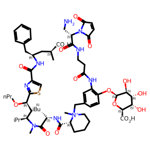 CCCO[C@H](C[C@H](C(C)C)N(C)C(=O)[C@@H](NC(=O)[C@H]1CCCC[N+]1(C)Cc1ccc(O[C@@H]2O[C@H](C(=O)O)[C@@H](O)[C@@H](O)[C@@H]2O)c(NC(=O)CCNC(=O)[C@H](CN)N2C(=O)C=CC2=O)c1)[C@@H](C)CC)c1nc(C(=O)N[C@@H](Cc2ccccc2)C[C@H](C)C(=O)O)cs1